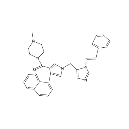 CN1CCN(C(=O)c2cn(Cc3cncn3C=Cc3ccccc3)cc2-c2cccc3ccccc23)CC1